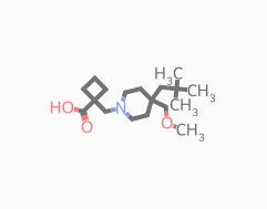 COCC1(CC(C)(C)C)CCN(CC2(C(=O)O)CCC2)CC1